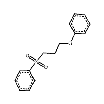 O=S(=O)(CCCOc1ccccc1)c1c[c]ccc1